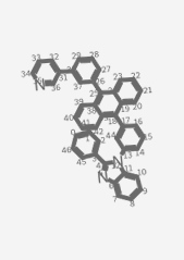 c1ccc(-c2nc3ccccc3n2-c2cccc(-c3c4ccccc4c(-c4cccc(-c5cccnc5)c4)c4ccccc34)c2)cc1